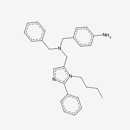 CCCCn1c(CN(Cc2ccccc2)Cc2ccc(N)cc2)cnc1-c1ccccc1